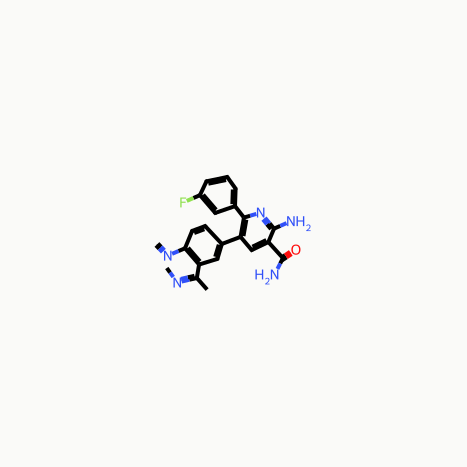 C=Nc1ccc(-c2cc(C(N)=O)c(N)nc2-c2cccc(F)c2)cc1/C(C)=N\C